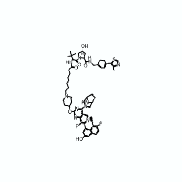 C#Cc1c(F)ccc2cc(O)cc(-c3ncc4c(N5CC6CCC(C5)N6)nc(OC5CCN(CCCCCCCC(=O)N[C@H](C(=O)N6C[C@H](O)CC6C(=O)NCC6=CC=C(c7scnc7C)CC6)C(C)(C)C)CC5)nc4c3F)c12